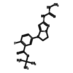 CNC(=O)Nc1cc2n(n1)CCN2c1ccc(F)c(C(=O)OC(C)(C)C)c1